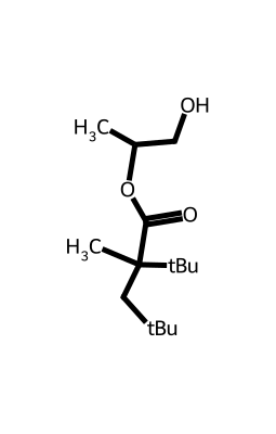 CC(CO)OC(=O)C(C)(CC(C)(C)C)C(C)(C)C